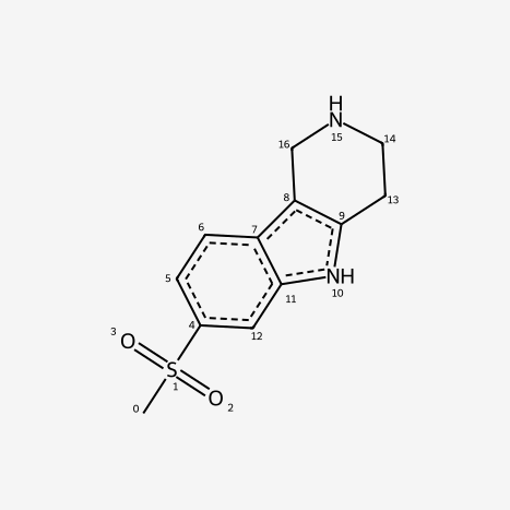 CS(=O)(=O)c1ccc2c3c([nH]c2c1)CCNC3